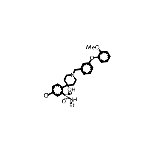 CCNS(=O)(=O)c1cc(Cl)ccc1C1(O)CCN(Cc2cccc(Oc3ccccc3OC)c2)CC1